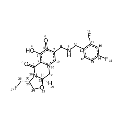 O=C1c2c(O)c(=O)c(CNCc3ccc(F)cc3F)cn2C[C@H]2OC[C@H](CF)N12